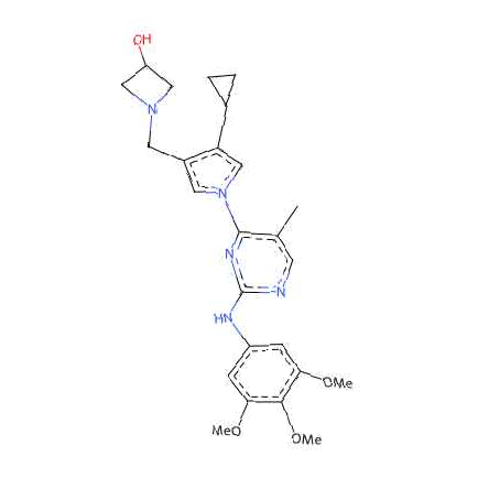 COc1cc(Nc2ncc(C)c(-n3cc(CN4CC(O)C4)c(C4CC4)c3)n2)cc(OC)c1OC